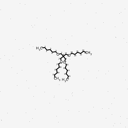 CCCCCCOCC(COCCCCCC)(COCCCCCC)COCCCCCC